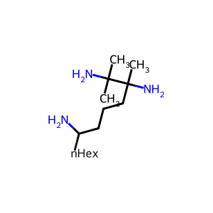 CCCCCCC(N)CCCC(C)(N)C(C)(C)N